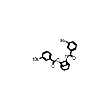 CC(C)(C)c1cccc(C(=O)OC2C3CCC(CC3)C2OC(=O)c2cccc(C(C)(C)C)c2)c1